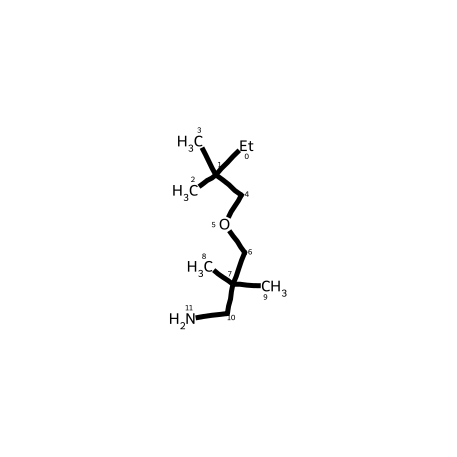 CCC(C)(C)COCC(C)(C)CN